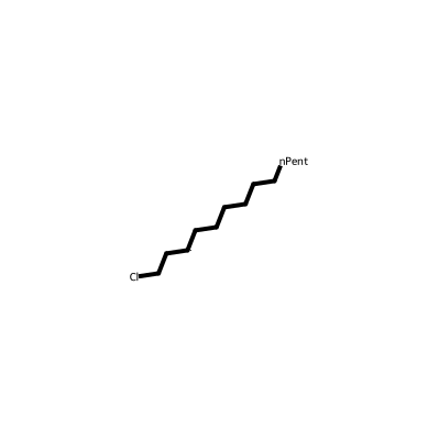 CCCCCCCCCCC[CH]CCCl